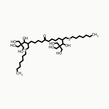 CCCCCCCSCC(CCCCC(=O)CCCCC(CSCCCCCCC)C(O)C(CO)(CO)CO)C(O)C(CO)(CO)CO